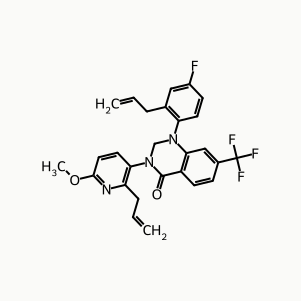 C=CCc1cc(F)ccc1N1CN(c2ccc(OC)nc2CC=C)C(=O)c2ccc(C(F)(F)F)cc21